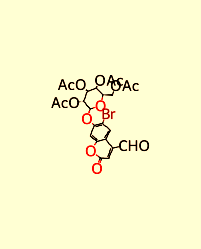 CC(=O)OC[C@H]1O[C@@H](Oc2cc3oc(=O)cc(C=O)c3cc2Br)[C@H](OC(C)=O)[C@@H](OC(C)=O)[C@H]1OC(C)=O